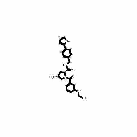 CCOc1cccc(C(=O)N2C[C@H](C)C[C@H]2C(=O)NCc2ccc(-c3cnco3)cc2)c1